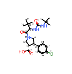 CC(C)(C)NC(=O)NC(C(=O)N1C[C@@H](C(=O)O)[C@H](c2ccc(Cl)cc2)C1)C(C)(C)C